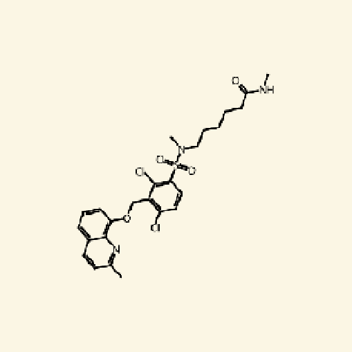 CNC(=O)CCCCCN(C)S(=O)(=O)c1ccc(Cl)c(COc2cccc3ccc(C)nc23)c1Cl